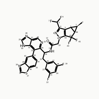 C[C@@H]1C2c3c(C(F)F)nn(CC(=O)NC(Cc4cc(F)cc(F)c4)c4ncc5nc[nH]c5c4-c4ccc5scnc5c4)c3C(F)(F)C21